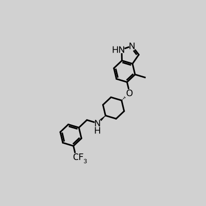 Cc1c(O[C@H]2CC[C@H](NCc3cccc(C(F)(F)F)c3)CC2)ccc2[nH]ncc12